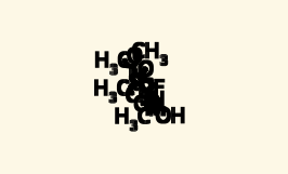 CCC(COC)n1cc(C(C)C)c2cc(-n3nc(CO)n(CC)c3=O)c(F)cc2c1=O